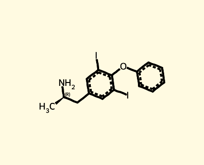 C[C@@H](N)Cc1cc(I)c(Oc2ccccc2)c(I)c1